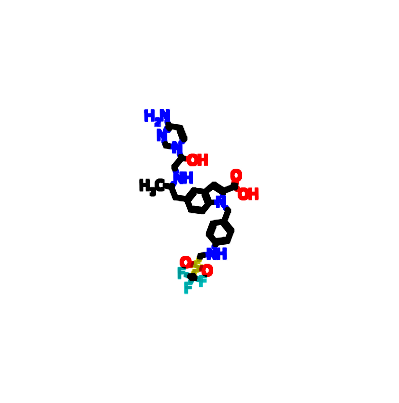 CC(Cc1ccc2c(c1)cc(C(=O)O)n2Cc1ccc(NCS(=O)(=O)C(F)(F)F)cc1)NCC(O)N1C=CC(N)=NC1